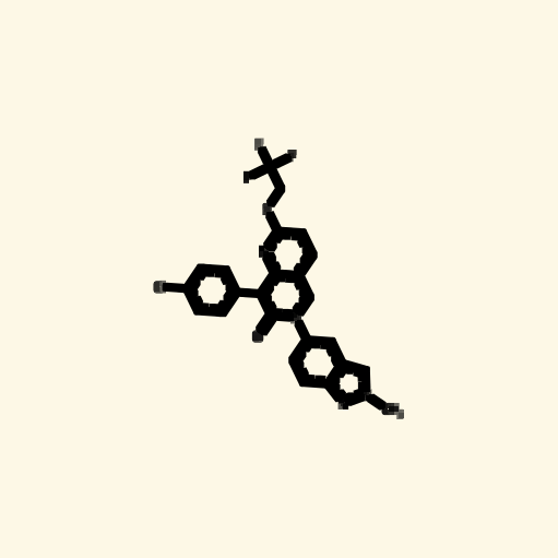 Cn1cc2cc(-n3cc4ccc(SCC(F)(F)F)nc4c(-c4ccc(Cl)cc4)c3=O)ccc2n1